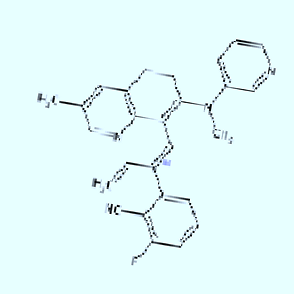 C=C/C(=C\C1=C(N(C)c2cccnc2)CCc2cc(C)cnc21)c1cccc(F)c1C#N